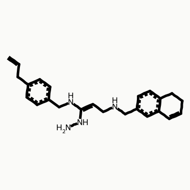 C=CCc1ccc(CN/C(=C/CNCc2ccc3c(c2)C=CCC3)NN)cc1